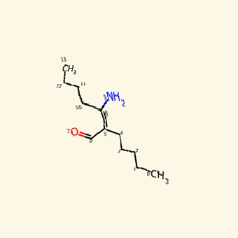 CCCCCC(C=O)=C(N)CCCC